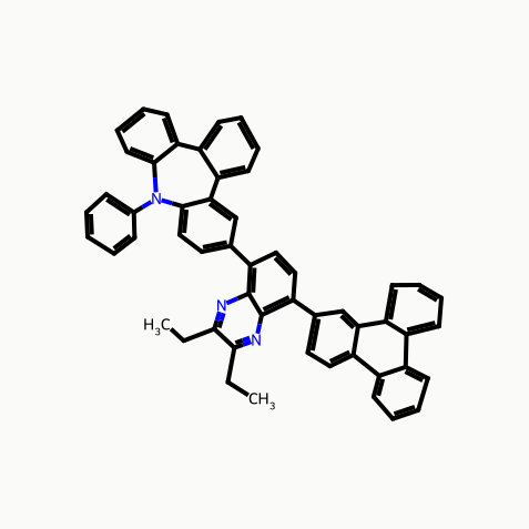 CCc1nc2c(-c3ccc4c(c3)-c3ccccc3-c3ccccc3N4c3ccccc3)ccc(-c3ccc4c5ccccc5c5ccccc5c4c3)c2nc1CC